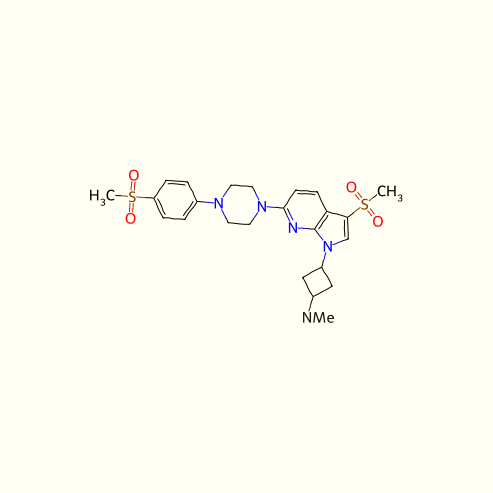 CNC1CC(n2cc(S(C)(=O)=O)c3ccc(N4CCN(c5ccc(S(C)(=O)=O)cc5)CC4)nc32)C1